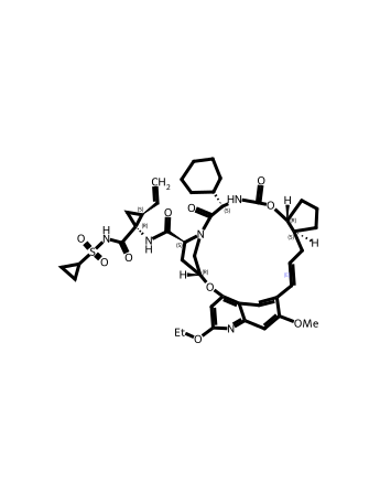 C=C[C@@H]1C[C@]1(NC(=O)[C@@H]1C[C@@H]2CN1C(=O)[C@H](C1CCCCC1)NC(=O)O[C@@H]1CCC[C@H]1C/C=C/c1cc3c(cc(OCC)nc3cc1OC)O2)C(=O)NS(=O)(=O)C1CC1